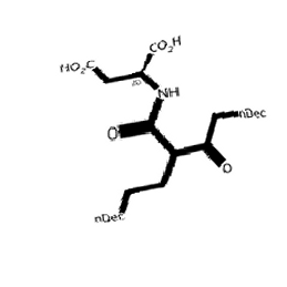 CCCCCCCCCCCCC(C(=O)CCCCCCCCCCC)C(=O)N[C@@H](CC(=O)O)C(=O)O